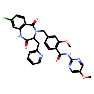 COc1cnc(NC(=O)c2ccc(CN3C(=O)c4ccc(Cl)cc4NC(=O)C3Cc3ccccn3)cc2OC)nc1